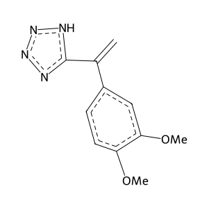 C=C(c1ccc(OC)c(OC)c1)c1nnn[nH]1